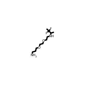 CC(NCCOCCOCCCN)C(C)(F)F